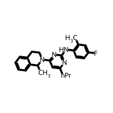 CCCc1cc(N2CCc3ccccc3C2C)nc(Nc2ccc(F)cc2C)n1